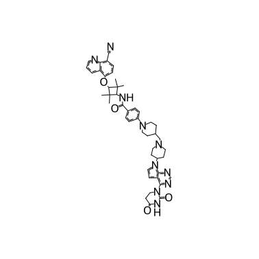 CC1(C)C(NC(=O)c2ccc(N3CCC(CN4CCC(n5ccc6c(N7CCC(=O)NC7=O)ncnc65)CC4)CC3)cc2)C(C)(C)C1Oc1ccc(C#N)c2ncccc12